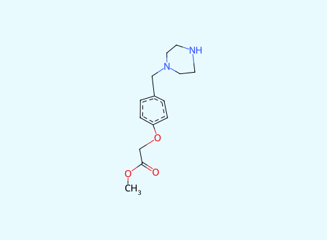 COC(=O)COc1ccc(CN2CCNCC2)cc1